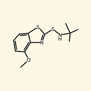 COc1cccc2sc(SNC(C)(C)C)nc12